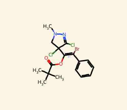 CN1CC(Cl)(/C(OC(=O)C(C)(C)C)=C(\Br)c2ccccc2)C(Cl)=N1